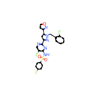 O=S(=O)(Nc1nc(-c2cc(-c3ccon3)n(Cc3ccccc3F)n2)ncc1F)c1ccc(F)cc1